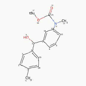 Cc1ccc(C(O)c2cccc(N(C)C(=O)OC(C)(C)C)c2)cc1